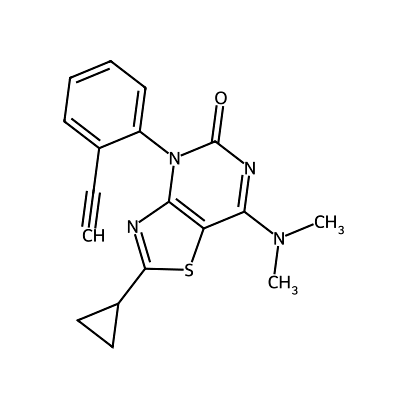 C#Cc1ccccc1-n1c(=O)nc(N(C)C)c2sc(C3CC3)nc21